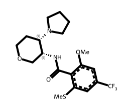 COc1cc(C(F)(F)F)cc(SC)c1C(=O)N[C@@H]1COCC[C@@H]1N1CCCC1